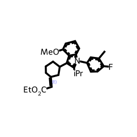 CCOC(=O)/C=C1\CCCC(c2c(C(C)C)n(-c3ccc(F)c(C)c3)c3cccc(OC)c23)C1